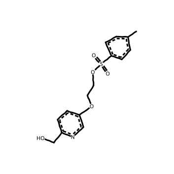 Cc1ccc(S(=O)(=O)OCCOc2ccc(CO)nc2)cc1